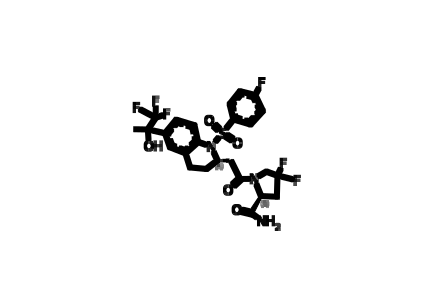 CC(O)(c1ccc2c(c1)CC[C@@H](CC(=O)N1CC(F)(F)C[C@H]1C(N)=O)N2S(=O)(=O)c1ccc(F)cc1)C(F)(F)F